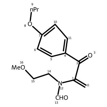 C=C(C(=O)c1ccc(OCCC)cc1)N(C=O)CCOC